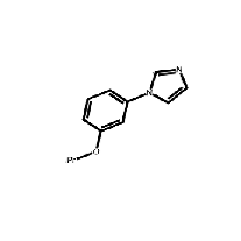 CC(C)Oc1cccc(-n2[c]ncc2)c1